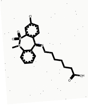 CN1c2ccccc2/C(=N\CCCCCCC(=O)O)c2ccc(Cl)cc2S1(=O)=O